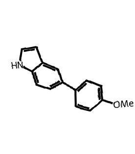 COc1ccc(-c2ccc3[nH]ccc3c2)cc1